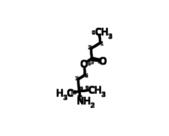 CCCC(=O)OCCC(C)(C)N